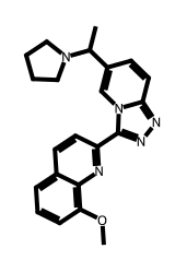 COc1cccc2ccc(-c3nnc4ccc(C(C)N5CCCC5)cn34)nc12